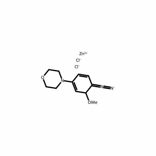 COC1C=C(N2CCOCC2)C=CC1=[N+]=[N-].[Cl-].[Cl-].[Zn+2]